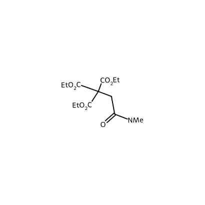 CCOC(=O)C(CC(=O)NC)(C(=O)OCC)C(=O)OCC